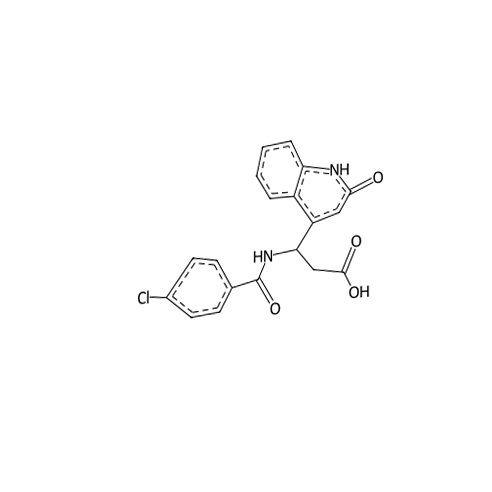 O=C(O)CC(NC(=O)c1ccc(Cl)cc1)c1cc(=O)[nH]c2ccccc12